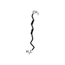 CC/[C]=C/C=CCCCC